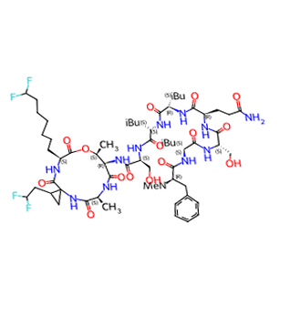 CC[C@H](C)[C@H](NC(=O)[C@@H](Cc1ccccc1)NC)C(=O)N[C@@H](CO)C(=O)N[C@H](CCC(N)=O)C(=O)N[C@@H](C(=O)N[C@H](C(=O)N[C@@H](CO)C(=O)N[C@H]1C(=O)N[C@@H](C)C(=O)NC2(CC2CC(F)F)C(=O)N[C@@H](CCCCCCC(F)F)C(=O)O[C@H]1C)[C@@H](C)CC)[C@@H](C)CC